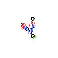 CN(CCn1cc(-c2ccc(F)c(F)c2)nc1C1CCN(C(=O)OC(C)(C)C)CC1)C(=O)OCc1ccccc1